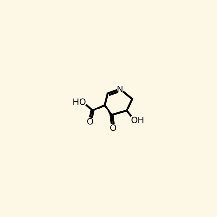 O=C(O)C1C=NCC(O)C1=O